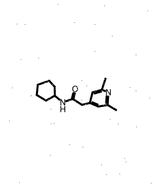 Cc1cc(CC(=O)NC2CCCCC2)cc(C)n1